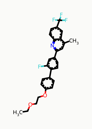 CCOCCOc1ccc(-c2ccc(-c3cc(C)c4cc(C(F)(F)F)ccc4n3)cc2F)cc1